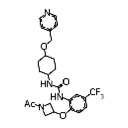 CC(=O)N1CC(Oc2ccc(C(F)(F)F)cc2NC(=O)NC2CCC(OCc3ccncc3)CC2)C1